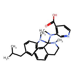 CC(C)Cc1ccc(N(C)C2(N(C)c3cnccc3C(=O)O)c3ccccc3CCN2C)cc1